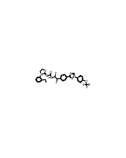 CCc1ccccc1N1CCS/C1=N\C(=O)NC(F)C(F)c1ccc(-c2ncn(-c3ccc(OC(F)(F)F)cc3)n2)cc1